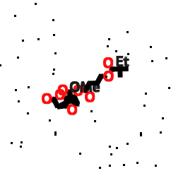 CCC(C)(C)C(=O)OCCCC(=O)OC1C2OC(=O)C3C2OC1C3C(=O)OC